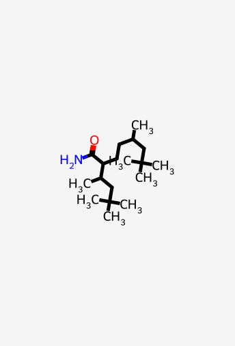 CC(CCC(C(N)=O)C(C)CC(C)(C)C)CC(C)(C)C